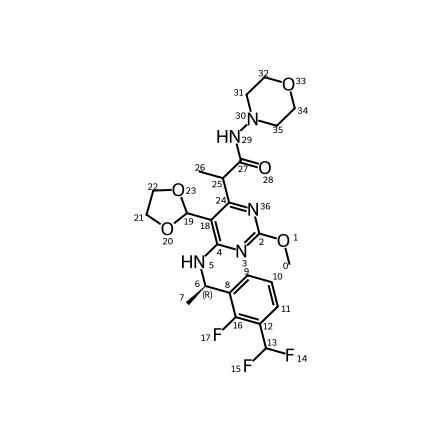 COc1nc(N[C@H](C)c2cccc(C(F)F)c2F)c(C2OCCO2)c(C(C)C(=O)NN2CCOCC2)n1